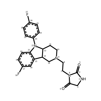 O=C1CNC(=O)N1CCN1CCC2C(C1)c1cc(F)ccc1N2c1ccc(F)cc1